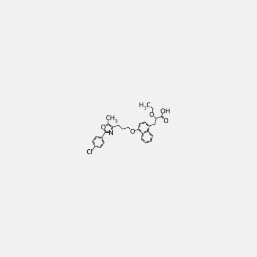 CCOC(Cc1ccc(OCCCc2nc(-c3ccc(Cl)cc3)oc2C)c2ccccc12)C(=O)O